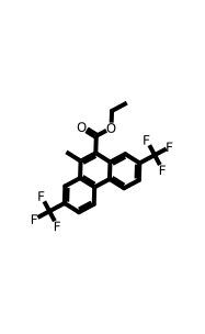 CCOC(=O)c1c(C)c2cc(C(F)(F)F)ccc2c2ccc(C(F)(F)F)cc12